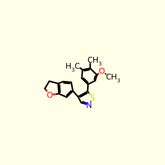 COc1cc(-c2sncc2-c2ccc3c(c2)OCC3)cc(C)c1C